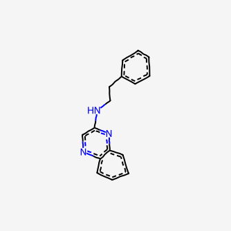 c1ccc(CCNc2cnc3ccccc3n2)cc1